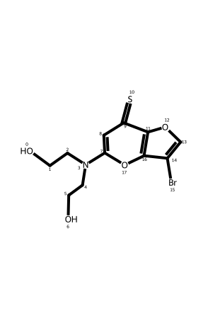 OCCN(CCO)c1cc(=S)c2occ(Br)c2o1